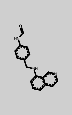 O=CNc1ccc(CNc2cccc3ccncc23)cc1